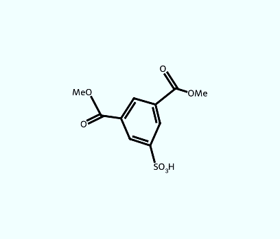 COC(=O)c1cc(C(=O)OC)cc(S(=O)(=O)O)c1